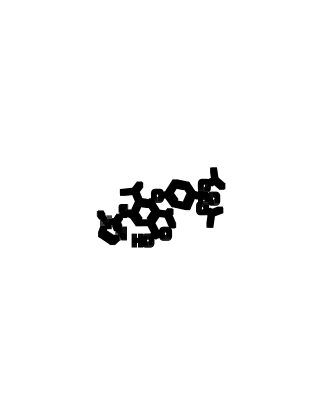 CC(C)OP(=O)(OC(C)C)c1ccc(Oc2c(C(C)C)c(Sc3nccn3C)cc(C(=O)O)c2C(C)C)cc1